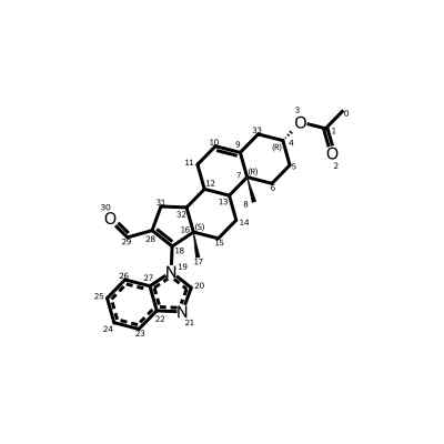 CC(=O)O[C@@H]1CC[C@@]2(C)C(=CCC3C2CC[C@]2(C)C(n4cnc5ccccc54)=C(C=O)CC32)C1